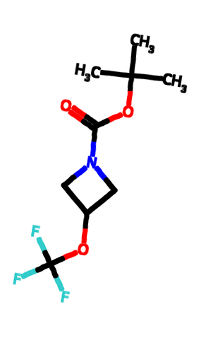 CC(C)(C)OC(=O)N1CC(OC(F)(F)F)C1